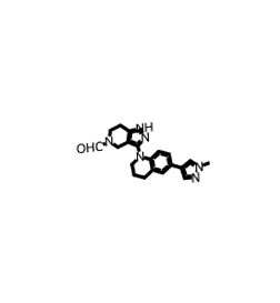 Cn1cc(-c2ccc3c(c2)CCCN3c2n[nH]c3c2CN(C=O)CC3)cn1